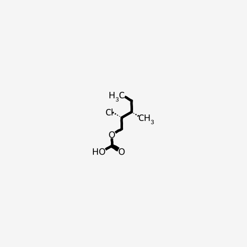 CC[C@H](C)[C@@H](Cl)COC(=O)O